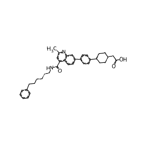 Cc1cc(C(=O)NCCCCCCc2ccccc2)c2ccc(-c3ccc(C4CCC(CC(=O)O)CC4)cc3)cc2n1